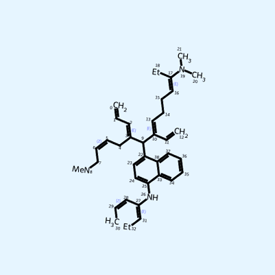 C=C/C=C(\C/C=C\CNC)C(/C(C=C)=C/CC/C=C(\CC)N(C)C)c1ccc(NC(/C=C\C)=C/CC)c2ccccc12